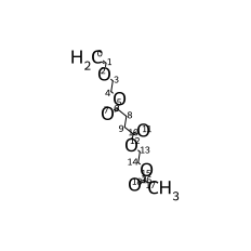 C=COCCOC(=O)CCC(=O)OCCOC(C)=O